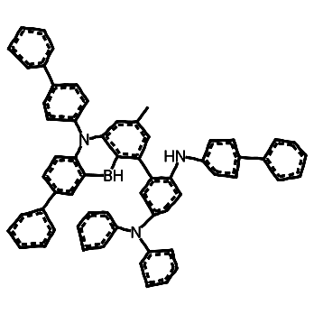 Cc1cc(-c2cc(N(c3ccccc3)c3ccccc3)ccc2Nc2ccc(-c3ccccc3)cc2)c2c(c1)N(c1ccc(-c3ccccc3)cc1)c1ccc(-c3ccccc3)cc1B2